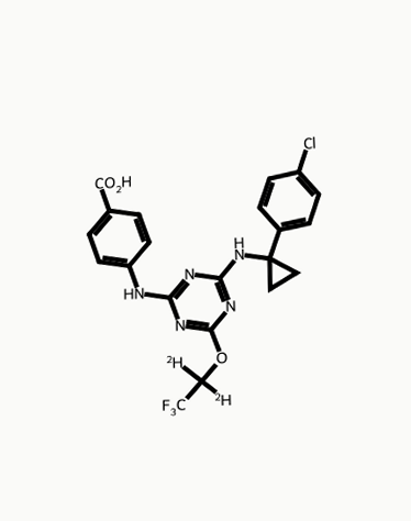 [2H]C([2H])(Oc1nc(Nc2ccc(C(=O)O)cc2)nc(NC2(c3ccc(Cl)cc3)CC2)n1)C(F)(F)F